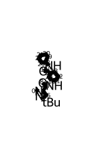 Cn1nc(C(C)(C)C)cc1C(=O)Nc1cccc(C(=O)Nc2ccccc2)c1